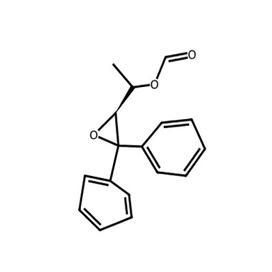 CC(OC=O)[C@@H]1OC1(c1ccccc1)c1ccccc1